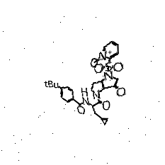 CC(C)(C)c1ccc(C(=O)NC(CC2CC2)C(=O)N2CCC3C2C(=O)CN3S(=O)(=O)c2cccc[n+]2[O-])cc1